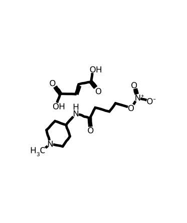 CN1CCC(NC(=O)CCCO[N+](=O)[O-])CC1.O=C(O)C=CC(=O)O